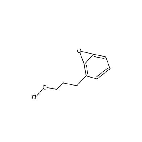 ClOCCCc1cccc2c1O2